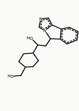 OCC1CCC(C(O)CC2c3ccccc3-c3cncn32)CC1